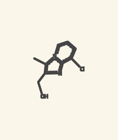 Cc1c(CO)nc2c(Cl)cccn12